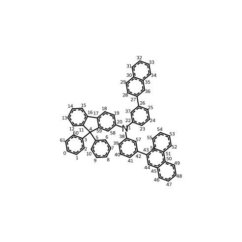 c1ccc(C2(c3ccccc3)c3ccccc3-c3ccc(N(c4cccc(-c5ccc6ccccc6c5)c4)c4cccc(-c5cc6ccccc6c6ccccc56)c4)cc32)cc1